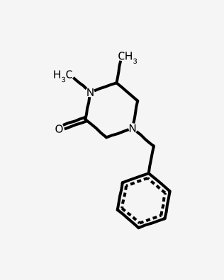 CC1CN(Cc2ccccc2)CC(=O)N1C